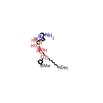 CCCCCCCCCCCCCCCCCCOC[C@H](COP(=O)(O)OC[C@H]1O[C@@](C#N)(c2ccc3c(N)ccnn23)[C@H](O)[C@@H]1O)OCc1cccc(OC)c1